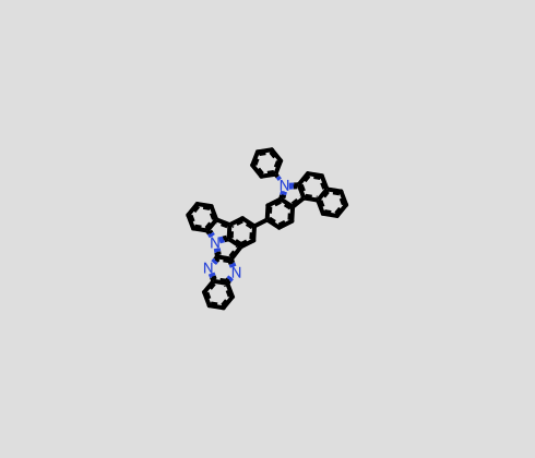 c1ccc(-n2c3cc(-c4cc5c6ccccc6n6c7nc8ccccc8nc7c(c4)c56)ccc3c3c4ccccc4ccc32)cc1